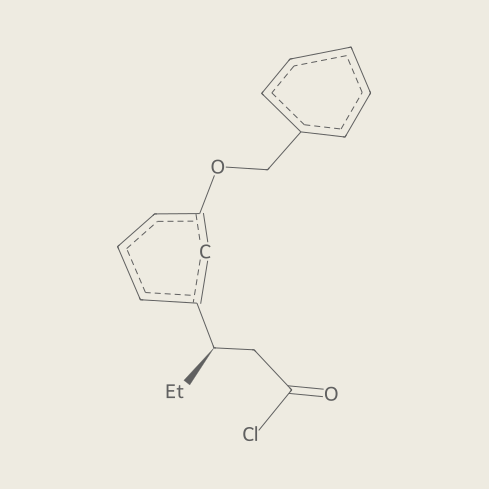 CC[C@H](CC(=O)Cl)c1cccc(OCc2ccccc2)c1